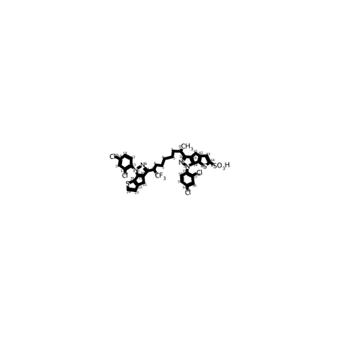 CC(CCCCCC(c1nn(-c2ccc(Cl)cc2Cl)c2c1Cc1ccsc1-2)C(F)(F)F)c1nn(-c2ccc(Cl)cc2Cl)c2c1Cc1cc(S(=O)(=O)O)sc1-2